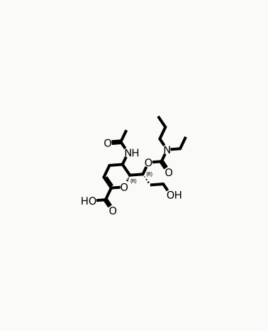 CCCN(CC)C(=O)O[C@H](CCO)[C@@H]1OC(C(=O)O)=CCC1NC(C)=O